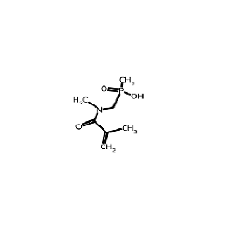 C=C(C)C(=O)N(C)CP(C)(=O)O